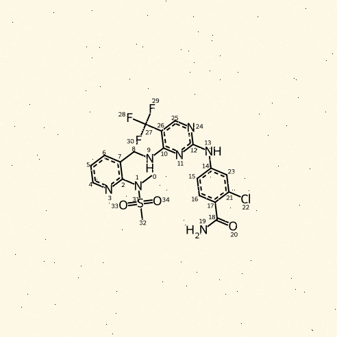 CN(c1ncccc1CNc1nc(Nc2ccc(C(N)=O)c(Cl)c2)ncc1C(F)(F)F)S(C)(=O)=O